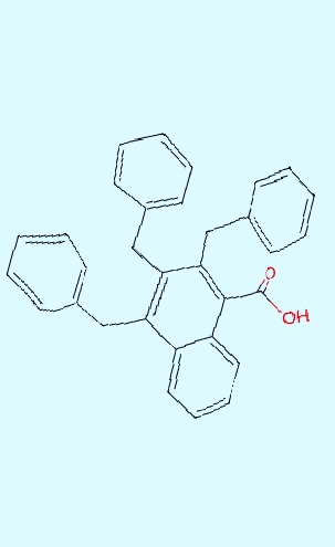 O=C(O)c1c(Cc2ccccc2)c(Cc2ccccc2)c(Cc2ccccc2)c2ccccc12